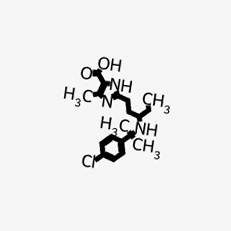 CCC(CCc1nc(C)c(C(=O)O)[nH]1)NC(C)(C)c1ccc(Cl)cc1